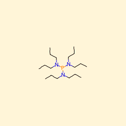 CCCN(CCC)P(N(CCC)CCC)N(CCC)CCC